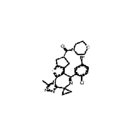 Cc1nnc2n1-c1sc3c(c1C(c1cc(Br)ccc1Cl)=NC21CC1)C[C@H](C(=O)N1CCOCC1)C3